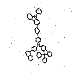 c1ccc(-n2c3ccccc3c3cc(-c4ccc(-c5ccc(N(c6ccc(-c7cccc8ccccc78)cc6)c6ccc7c(c6)C(c6ccccc6)(c6ccccc6)c6ccccc6-7)cc5)cc4)ccc32)cc1